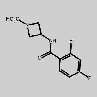 O=C(NC1CN(C(=O)O)C1)c1ccc(F)cc1Cl